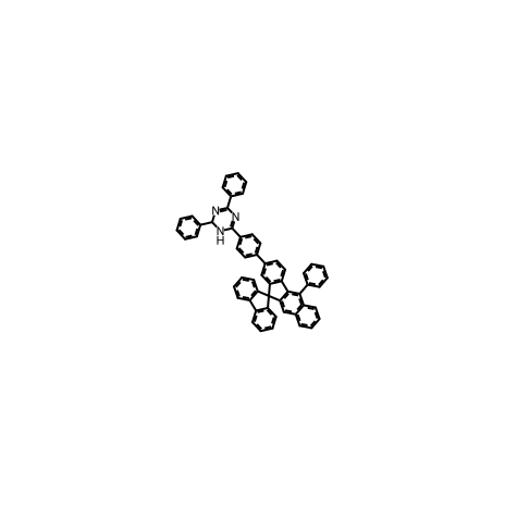 c1ccc(C2=NC(c3ccccc3)NC(c3ccc(-c4ccc5c(c4)C4(c6ccccc6-c6ccccc64)c4cc6ccccc6c(-c6ccccc6)c4-5)cc3)=N2)cc1